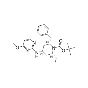 CC[C@@H]1C[C@H](Nc2nccc(OC)n2)C[C@H](Cc2ccccc2)N1C(=O)OC(C)(C)C